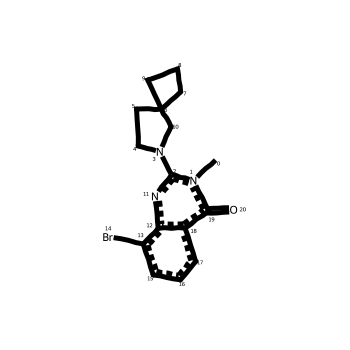 Cn1c(N2CCC3(CCC3)C2)nc2c(Br)cccc2c1=O